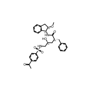 CO[C@@H]1Cc2ccccc2[C@@H]1NC(=O)[C@H](Cc1ccccc1)C[C@H](O)CNS(=O)(=O)c1ccc(C(C)=O)cc1